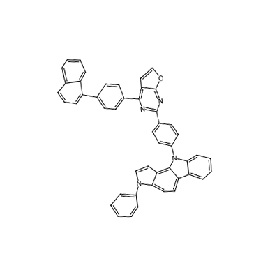 c1ccc(-n2ccc3c2ccc2c4ccccc4n(-c4ccc(-c5nc(-c6ccc(-c7cccc8ccccc78)cc6)c6ccoc6n5)cc4)c23)cc1